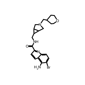 Nc1c(Br)ccc2nc(C(=O)NCC3C4CN(CC5CCOCC5)CC34)ccc12